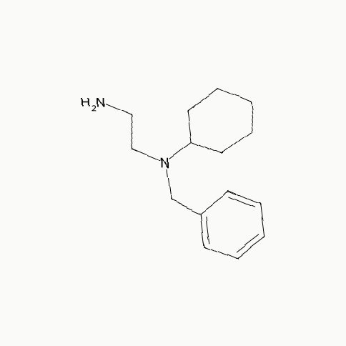 NCCN(Cc1ccccc1)C1CCCCC1